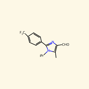 Cc1c(C=O)nc(-c2ccc(C(F)(F)F)cc2)n1C(C)C